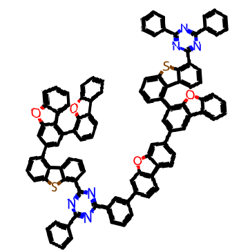 c1ccc(-c2nc(-c3cccc(-c4ccc5c(c4)oc4cc(-c6cc(-c7cccc8sc9c(-c%10nc(-c%11ccccc%11)nc(-c%11ccccc%11)n%10)cccc9c78)c7oc8ccccc8c7c6)ccc45)c3)nc(-c3cccc4c3sc3cccc(-c5cc(-c6cccc7c6oc6ccccc67)c6c(c5)oc5ccccc56)c34)n2)cc1